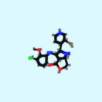 COc1c(Cl)cccc1Nc1c(-c2ccncc2Br)[nH]c2c1C(=O)OCC2